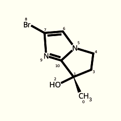 C[C@]1(O)CCn2cc(Br)nc21